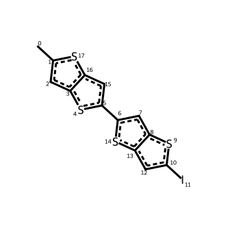 Cc1cc2sc(-c3cc4sc(I)cc4s3)cc2s1